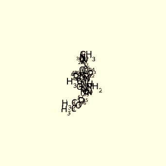 CC(C)Oc1ccc(-c2cnc(N)c(C(=O)NC(C)c3nc4cccc(C#Cc5ccn(C)n5)c4c(=O)n3-c3ccccc3)n2)cc1